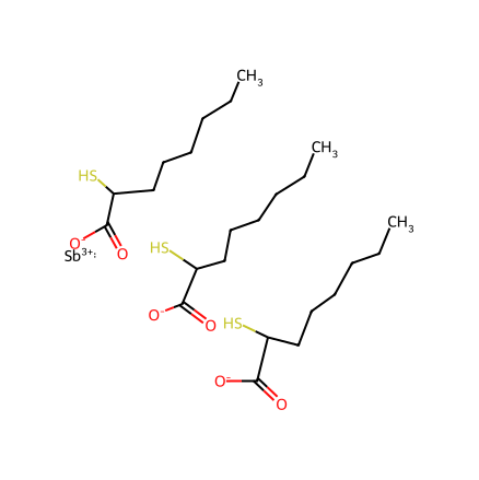 CCCCCCC(S)C(=O)[O-].CCCCCCC(S)C(=O)[O-].CCCCCCC(S)C(=O)[O-].[Sb+3]